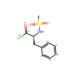 CS(=O)(=O)N[C@@H](Cc1ccccc1)C(=O)Cl